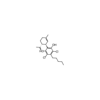 C=C(C)[C@@H]1CCC(C)=C[C@H]1c1c(O)c(Cl)c(CCCCC)c(Cl)c1O